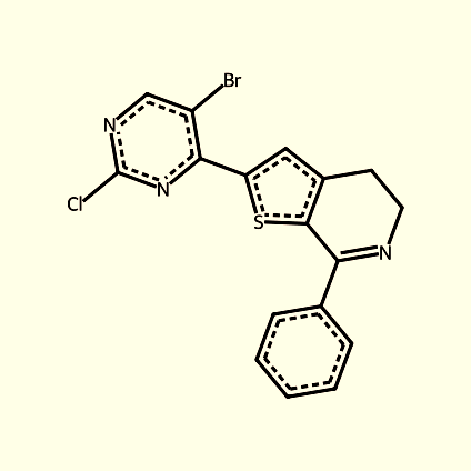 Clc1ncc(Br)c(-c2cc3c(s2)C(c2ccccc2)=NCC3)n1